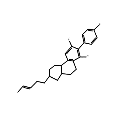 CC=CCCC1CCC2c3cc(F)c(-c4ccc(F)cc4)c(F)c3CCC2C1